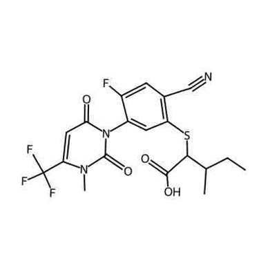 CCC(C)C(Sc1cc(-n2c(=O)cc(C(F)(F)F)n(C)c2=O)c(F)cc1C#N)C(=O)O